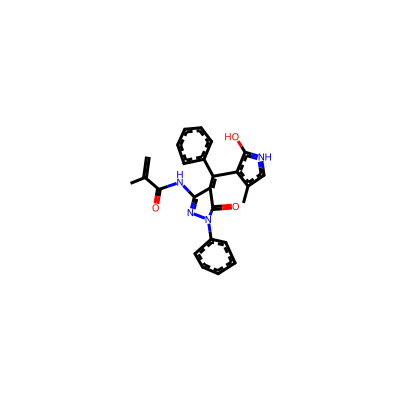 C=C(C)C(=O)NC1=NN(c2ccccc2)C(=O)C1=C(c1ccccc1)c1c(C)c[nH]c1O